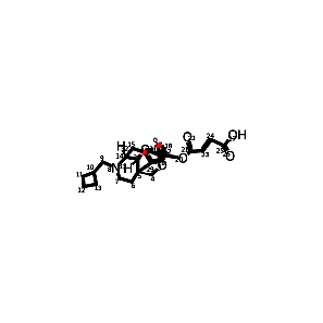 CC1(C)OC[C@]23CCN(CC4CCC4)[C@H](Cc4ccc(OC(=O)/C=C/C(=O)O)cc42)[C@@H]3O1